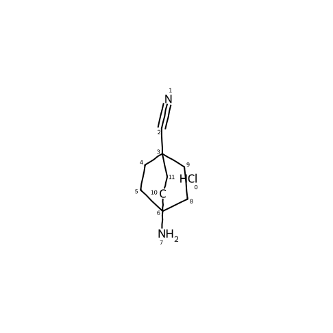 Cl.N#CC12CCC(N)(CC1)CC2